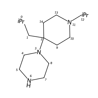 CC(C)CC1(N2CCNCC2)CCN(C(C)C)CC1